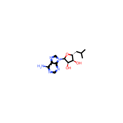 CC(C)C[C@H]1OC(n2cnc3c(N)ncnc32)[C@H](O)[C@@H]1O